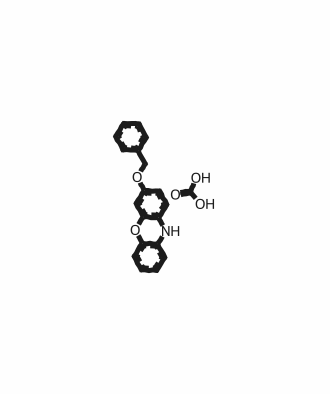 O=C(O)O.c1ccc(COc2ccc3c(c2)Oc2ccccc2N3)cc1